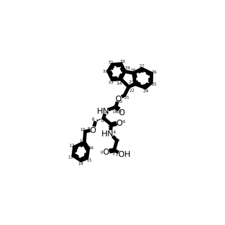 O=C(O)CNC(=O)[C@H](COCc1ccccc1)NC(=O)OCC1c2ccccc2-c2ccccc21